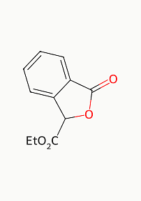 CCOC(=O)C1OC(=O)c2ccccc21